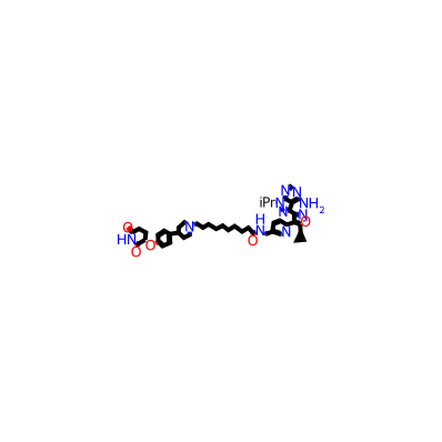 CC(C)n1nc(-c2noc(C3CC3)c2-c2ccc(CNC(=O)CCCCCCCCCN3CCC(c4ccc(OC5CCC(=O)NC5=O)cc4)CC3)cn2)c2c(N)ncnc21